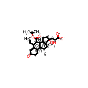 CCC1C2=CC(=O)CC[C@]2(C)[C@H]2CC[C@@]3(C)[C@@H](CC[C@]3(O)CCC(=O)[O-])[C@@H]2C1C(=O)OC(C)C.[K+]